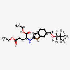 CCOC(=O)CC[C@H](Nc1cc2c(s1)CC(CO[Si](C)(C)C(C)(C)C)CC2)C(=O)OCC